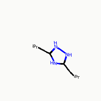 CC(C)C1NNC(C(C)C)N1